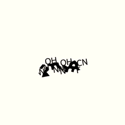 Cc1c(-c2cnn(-c3ccc(C(O)N4CCN(C)C5(CC5)C4)cn3)c2O)ccc(C#N)c1F